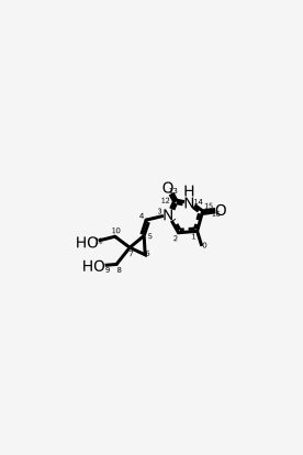 Cc1cn(C=C2CC2(CO)CO)c(=O)[nH]c1=O